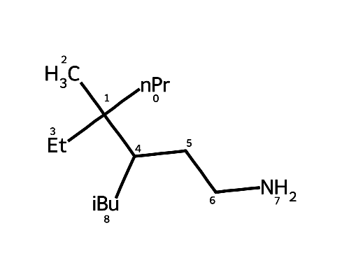 CCCC(C)(CC)C(CCN)C(C)CC